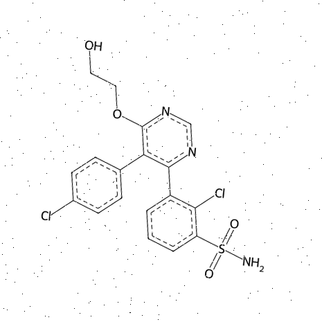 NS(=O)(=O)c1cccc(-c2ncnc(OCCO)c2-c2ccc(Cl)cc2)c1Cl